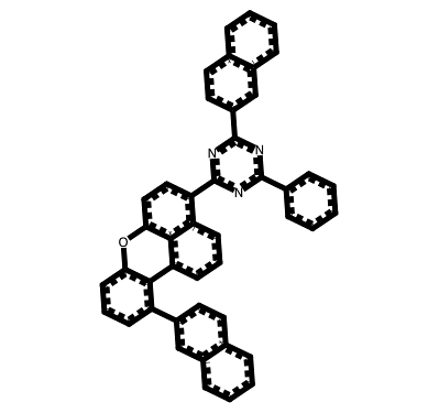 c1ccc(-c2nc(-c3ccc4ccccc4c3)nc(-c3ccc4c5c(cccc35)-c3c(cccc3-c3ccc5ccccc5c3)O4)n2)cc1